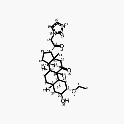 CCO[C@H]1C[C@@]2(C)[C@@H](CC[C@H]3[C@@H]4CC[C@H](C(=O)Cn5ccnn5)C4(C)CC(=O)[C@@H]32)C[C@@H]1O